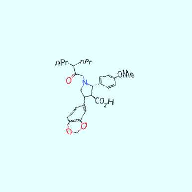 CCCC(CCC)C(=O)CN1CC(c2ccc3c(c2)OCO3)[C@H](C(=O)O)[C@H]1c1ccc(OC)cc1